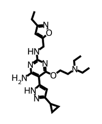 CCc1cc(CNc2nc(N)c(-c3cc(C4CC4)n[nH]3)c(OCCN(CC)CC)n2)on1